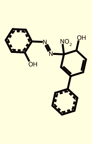 O=[N+]([O-])C1(N=Nc2ccccc2O)C=C(c2ccccc2)C=CC1O